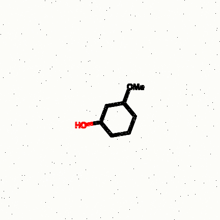 COC1CCCC(O)C1